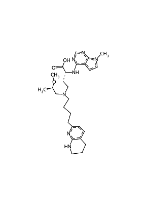 CO[C@H](C)CN(CCCCc1ccc2c(n1)NCCC2)CC[C@@H](Nc1ncnc2c1ccn2C)C(=O)O